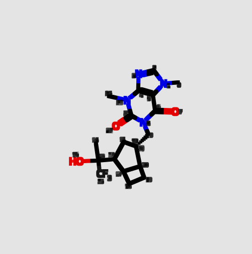 Cn1cnc2c1c(=O)n(C[C@H]1CC(C(C)(O)C(F)(F)F)C3CCC31)c(=O)n2C